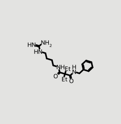 CCC(CC)(C(=O)NCCCCNC(=N)N)C(=O)NCc1ccccc1